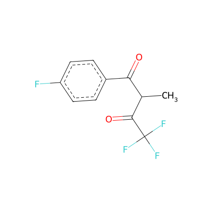 CC(C(=O)c1ccc(F)cc1)C(=O)C(F)(F)F